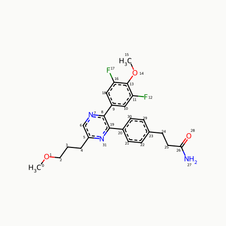 COCCCc1cnc(-c2cc(F)c(OC)c(F)c2)c(-c2ccc(CCC(N)=O)cc2)n1